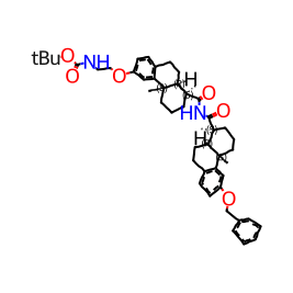 CC(C)(C)OC(=O)NCCOc1ccc2c(c1)[C@@]1(C)CCC[C@](C)(C(=O)NC(=O)[C@@]3(C)CCC[C@]4(C)c5cc(OCc6ccccc6)ccc5CC[C@@H]34)[C@@H]1CC2